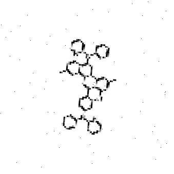 Cc1ccc2c(N(c3ccccc3)c3ccccn3)cc3c4cc(C)cc5c4c(cc3c2c1)-c1ccc(N(c2ccccc2)c2ccccn2)cc1O5